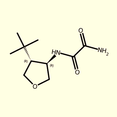 CC(C)(C)[C@H]1COC[C@@H]1NC(=O)C(N)=O